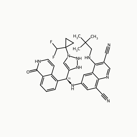 CC(C)(C)CNc1c(C#N)cnc2c(C#N)cc(N[C@H](C3=CN(C4(C(F)F)CC4)NN3)c3cccc4c(=O)[nH]ccc34)cc12